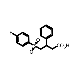 O=C(O)CC(CS(=O)(=O)c1ccc(F)cc1)c1ccccc1